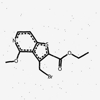 CCOC(=O)c1sc2ccnc(OC)c2c1CBr